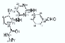 CCCNC(=O)[C@H]1CCC[C@H]1Nc1nc(Nc2cccc(C=O)c2)ncc1Br